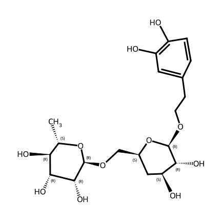 C[C@@H]1O[C@@H](OC[C@@H]2C[C@H](O)[C@@H](O)[C@H](OCCc3ccc(O)c(O)c3)O2)[C@H](O)[C@H](O)[C@H]1O